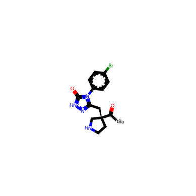 CC(C)(C)C(=O)[C@]1(Cc2n[nH]c(=O)n2-c2ccc(Br)cc2)CCNC1